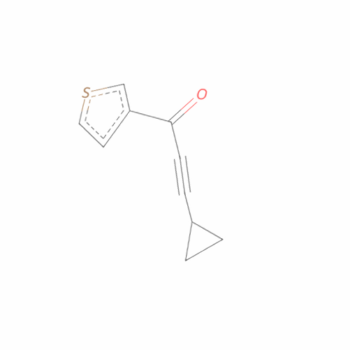 O=C(C#CC1CC1)c1ccsc1